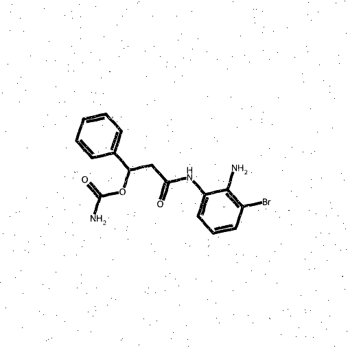 NC(=O)OC(CC(=O)Nc1cccc(Br)c1N)c1ccccc1